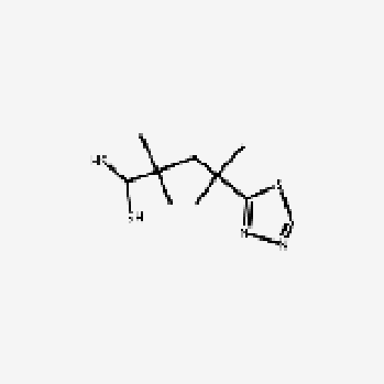 CC(C)(CC(C)(C)C(S)S)c1nncs1